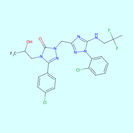 CC(F)(F)CNc1nc(Cn2nc(-c3ccc(Cl)cc3)n(CC(O)C(F)(F)F)c2=O)nn1-c1ccccc1Cl